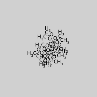 CC(=O)OC[C@@]1(O[C@H]2O[C@H](COC(=O)C(C)C)[C@@H](OC(=O)C(C)C)[C@H](OC(=O)C(C)C)[C@H]2OC(=O)C(C)C)O[C@H](COC(=O)C(C)C)[C@@H](OC(=O)C(C)C)[C@@H]1OC(C)=O